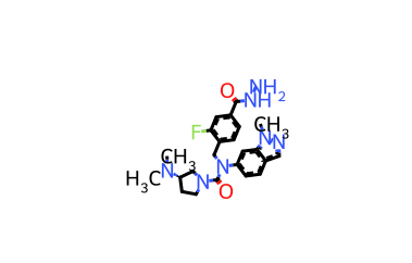 CN(C)[C@@H]1CCN(C(=O)N(Cc2ccc(C(=O)NN)cc2F)c2ccc3cnn(C)c3c2)C1